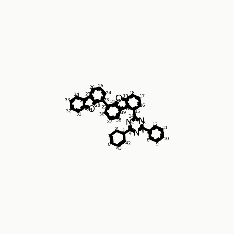 C1=CCC(c2nc(-c3ccccc3)nc(-c3cccc4oc5c(-c6cccc7c6oc6ccccc67)cccc5c34)n2)C=C1